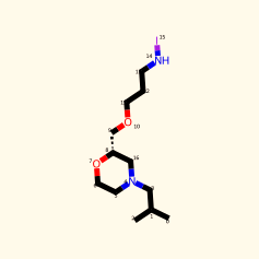 CC(C)CN1CCO[C@H](COCCCNI)C1